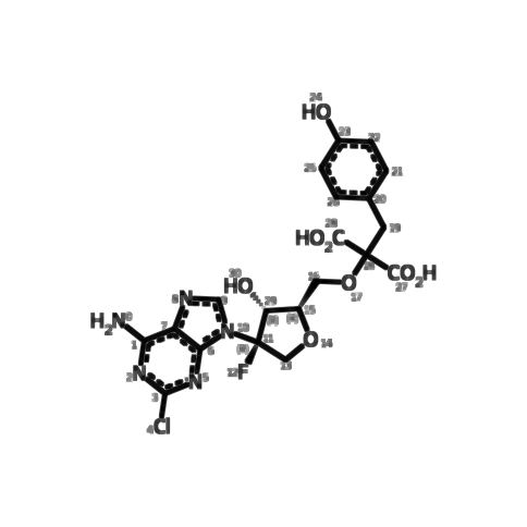 Nc1nc(Cl)nc2c1ncn2[C@@]1(F)CO[C@H](COC(Cc2ccc(O)cc2)(C(=O)O)C(=O)O)[C@H]1O